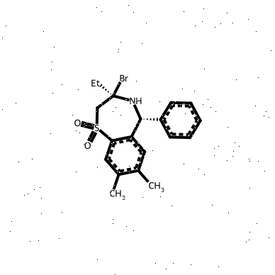 CC[C@@]1(Br)CS(=O)(=O)c2cc(C)c(C)cc2[C@@H](c2ccccc2)N1